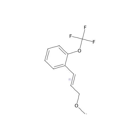 [CH2]OC/C=C/c1ccccc1OC(F)(F)F